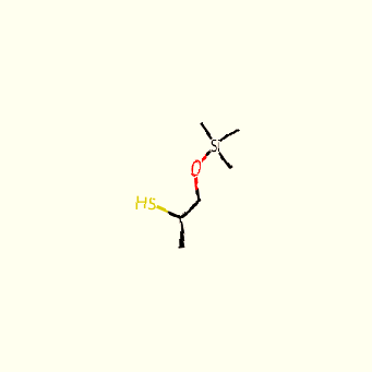 C[C@@H](S)CO[Si](C)(C)C